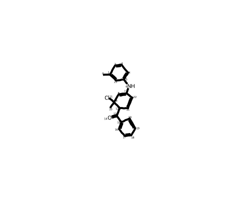 Cc1cccc(NC2=CC(C)(Cl)C(C(=O)c3ccccc3)C=C2)c1